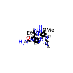 CCc1cnc(Nc2cc(N)c(N(C)CCN(C)C)cc2OC)nc1-c1cn(CC(N)=O)c2ccccc12